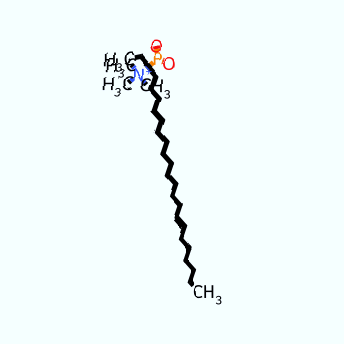 CCCCCCC=CCCCCCCCCCCCCCC(CC)(P(=O)=O)[N+](C)(C)C